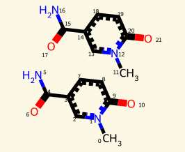 Cn1cc(C(N)=O)ccc1=O.Cn1cc(C(N)=O)ccc1=O